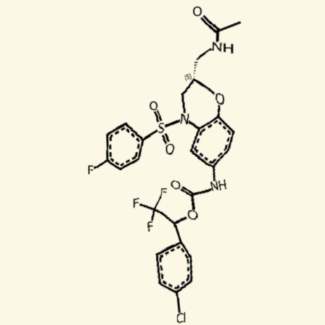 CC(=O)NC[C@H]1CN(S(=O)(=O)c2ccc(F)cc2)c2cc(NC(=O)OC(c3ccc(Cl)cc3)C(F)(F)F)ccc2O1